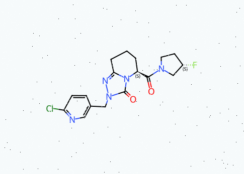 O=C([C@@H]1CCCc2nn(Cc3ccc(Cl)nc3)c(=O)n21)N1CC[C@H](F)C1